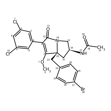 COC1=C(c2cc(Cl)cc(Cl)c2)C(=O)N2C[C@@H](NC(C)=O)C[C@]12Cc1ccc(Br)cc1